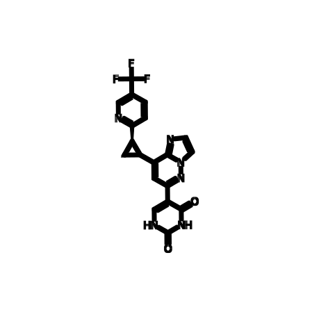 O=c1[nH]cc(-c2cc(C3C[C@H]3c3ccc(C(F)(F)F)cn3)c3nccn3n2)c(=O)[nH]1